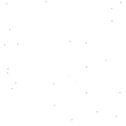 CCOC(=O)c1cn(Cc2ccccc2)c2ccccc2c1=O